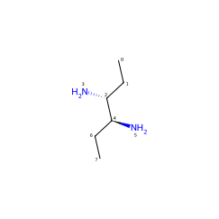 CC[C@@H](N)[C@@H](N)CC